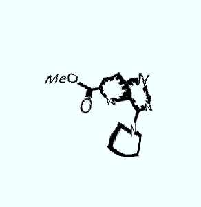 COC(=O)c1ccc2ncnc(N3CCCCC3)c2n1